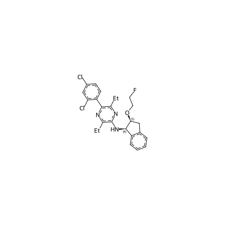 CCc1nc(-c2ccc(Cl)cc2Cl)c(CC)nc1N[C@@H]1c2ccccc2C[C@@H]1OCCF